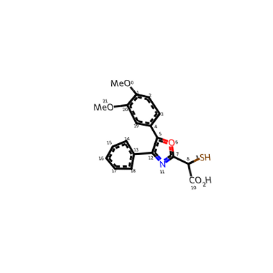 COc1ccc(-c2oc(C(S)C(=O)O)nc2-c2ccccc2)cc1OC